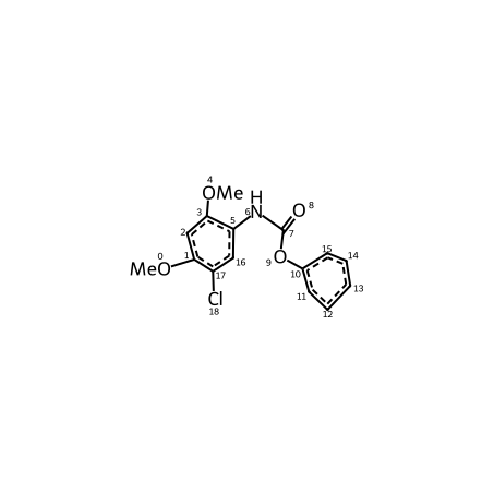 COc1cc(OC)c(NC(=O)Oc2ccccc2)cc1Cl